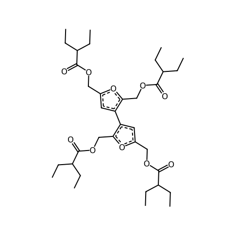 CCC(CC)C(=O)OCc1cc(-c2cc(COC(=O)C(CC)CC)oc2COC(=O)C(CC)CC)c(COC(=O)C(CC)CC)o1